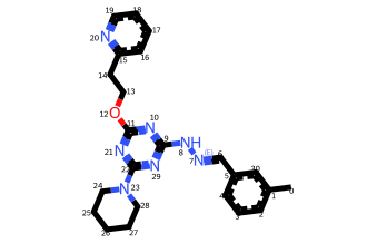 Cc1cccc(/C=N/Nc2nc(OCCc3ccccn3)nc(N3CCCCC3)n2)c1